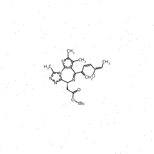 C=C(/C=C\C(Cl)=C/C)C1=N[C@@H](CC(=O)OC(C)(C)C)c2nnc(C)n2-c2sc(C)c(C)c21